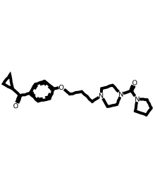 O=C(c1ccc(OCCCN2CCN(C(=O)N3CCCC3)CC2)cc1)C1CC1